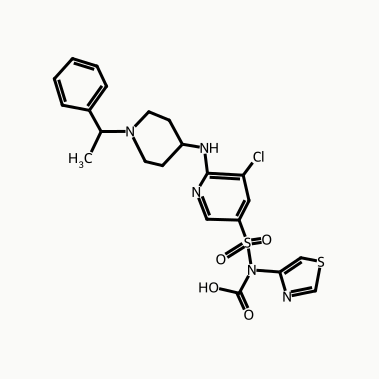 CC(c1ccccc1)N1CCC(Nc2ncc(S(=O)(=O)N(C(=O)O)c3cscn3)cc2Cl)CC1